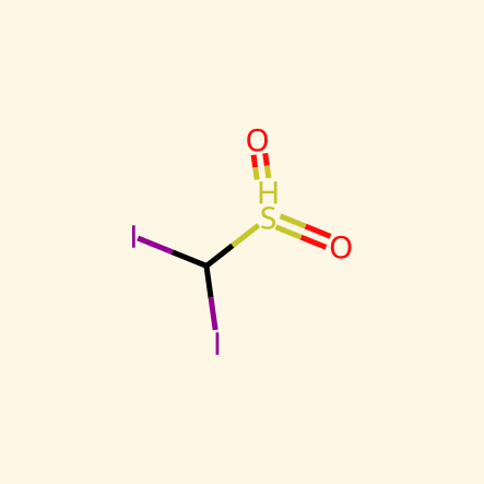 O=[SH](=O)C(I)I